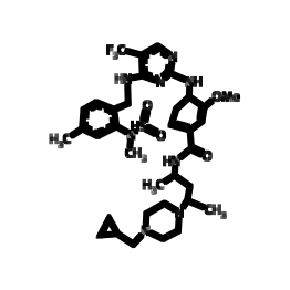 COC1=CC(C(=O)NC(C)CC(C)N2CCN(CC3CC3)CC2)=CCC1Nc1ncc(C(F)(F)F)c(NCc2ccc(C)cc2N(C)[SH](=O)=O)n1